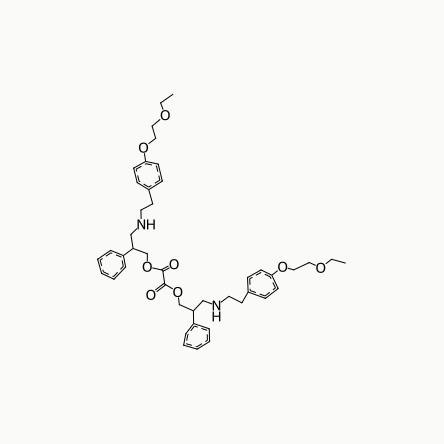 CCOCCOc1ccc(CCNCC(COC(=O)C(=O)OCC(CNCCc2ccc(OCCOCC)cc2)c2ccccc2)c2ccccc2)cc1